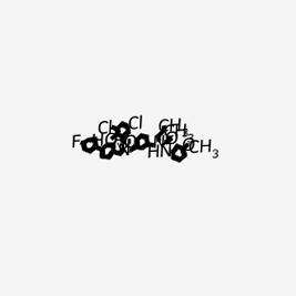 COc1cccc(NC(=O)N(Cc2cccc(CN(Cc3ccc(-c4ccc(F)cc4)cc3)S(=O)(=O)c3cc(Cl)cc(Cl)c3O)c2)CC(C)C)c1